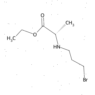 CCOC(=O)[C@H](C)NCCCBr